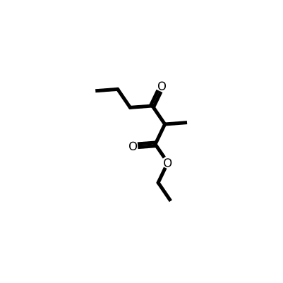 CCCC(=O)C(C)C(=O)OCC